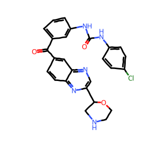 O=C(Nc1ccc(Cl)cc1)Nc1cccc(C(=O)c2ccc3nc(C4CNCCO4)cnc3c2)c1